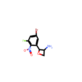 NC1COC1c1cc(Br)cc(F)c1[N+](=O)[O-]